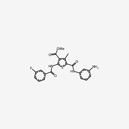 COC(=O)c1c(NC(=O)c2cccc(F)c2)sc(C(=O)Nc2cccc(N)c2)c1C